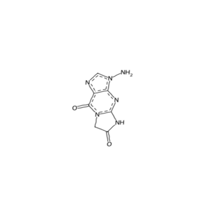 Nn1cnc2c(=O)n3c(nc21)NC(=O)C3